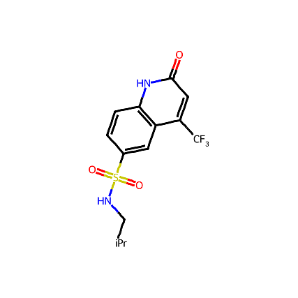 CC(C)CNS(=O)(=O)c1ccc2[nH]c(=O)cc(C(F)(F)F)c2c1